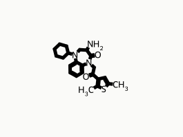 Cc1cc(C(=O)CN2C(=O)C(N)CN(C3CCCCC3)c3ccccc32)c(C)s1